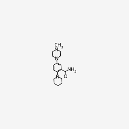 CN1CCN(c2ccc(N3CCCCC3)c(C(N)=O)c2)CC1